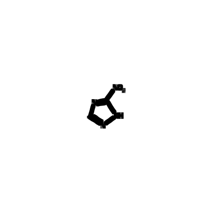 O=[N+]([O-])c1n[c]n[nH]1